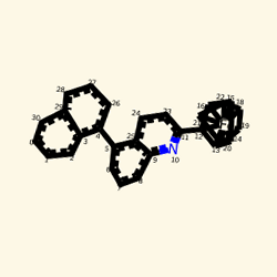 c1ccc2c(-c3cccc4nc([C]56[CH]7[CH]8[CH]9[CH]5[Fe]89765%10%11%12[CH]6[CH]5[CH]%10[CH]%11[CH]6%12)ccc34)cccc2c1